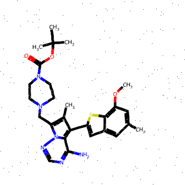 COc1cc(C)cc2cc(-c3c(C)c(CN4CCN(C(=O)OC(C)(C)C)CC4)n4ncnc(N)c34)sc12